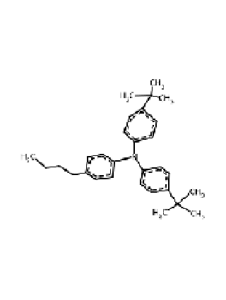 CCCCc1ccc(N(c2ccc(C(C)(C)C)cc2)c2ccc(C(C)(C)C)cc2)cc1